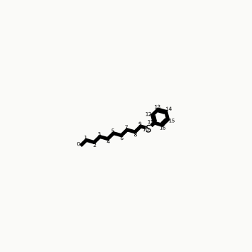 CCCCCCCCCCSc1c[c]ccc1